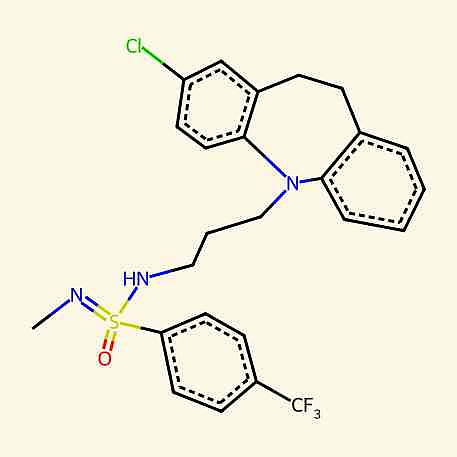 CN=S(=O)(NCCCN1c2ccccc2CCc2cc(Cl)ccc21)c1ccc(C(F)(F)F)cc1